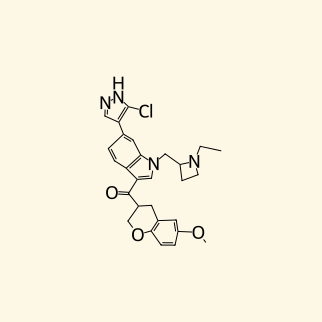 CCN1CCC1Cn1cc(C(=O)C2COc3ccc(OC)cc3C2)c2ccc(-c3cn[nH]c3Cl)cc21